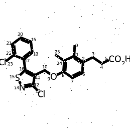 Cc1c(CCC(=O)O)ccc(OCc2c(Cl)nsc2-c2ccccc2Cl)c1C